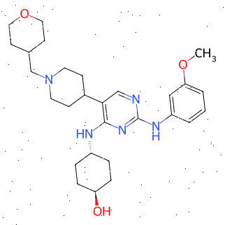 COc1cccc(Nc2ncc(C3CCN(CC4CCOCC4)CC3)c(N[C@H]3CC[C@H](O)CC3)n2)c1